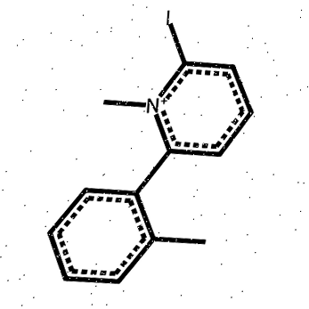 Cc1ccccc1-c1cccc(I)[n+]1C